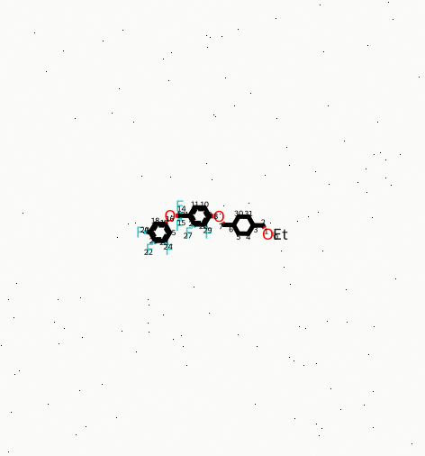 CCOCC1CCC(COc2ccc(C(F)(F)Oc3cc(F)c(F)c(F)c3)c(F)c2F)CC1